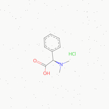 CN(C)[C@@H](C(=O)O)c1ccccc1.Cl